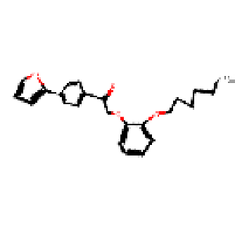 O=C(O)CCCCCOc1ccccc1OCC(=O)c1ccc(-c2ccco2)cc1